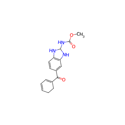 COC(=O)NC1Nc2ccc(C(=O)C3=CC=CCC3)cc2N1